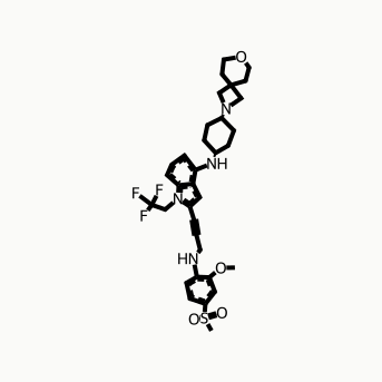 COc1cc(S(C)(=O)=O)ccc1NCC#Cc1cc2c(N[C@H]3CC[C@H](N4CC5(CCOCC5)C4)CC3)cccc2n1CC(F)(F)F